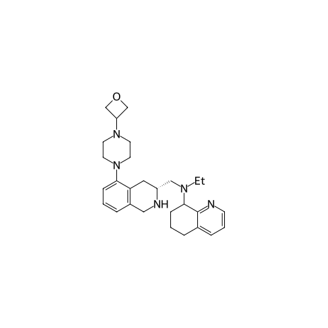 CCN(C[C@H]1Cc2c(cccc2N2CCN(C3COC3)CC2)CN1)C1CCCc2cccnc21